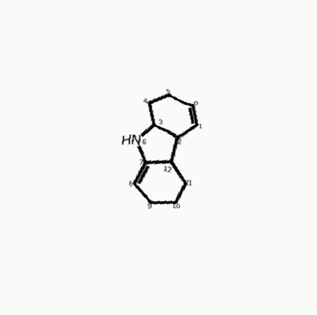 C1=CC2C(CC1)NC1=CCCCC12